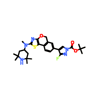 CN(c1nc2c(s1)-c1ccc(-c3cn(C(=O)OC(C)(C)C)nc3F)cc1CO2)C1CC(C)(C)NC(C)(C)C1